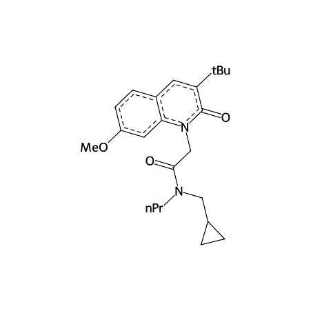 CCCN(CC1CC1)C(=O)Cn1c(=O)c(C(C)(C)C)cc2ccc(OC)cc21